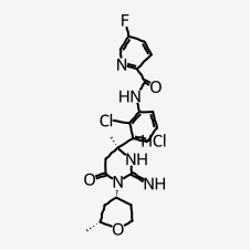 C[C@@H]1C[C@H](N2C(=N)N[C@](C)(c3cccc(NC(=O)c4ccc(F)cn4)c3Cl)CC2=O)CCO1.Cl